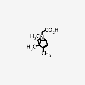 CC1=CC2C(C)C1(C)CN2CC(=O)O